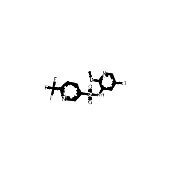 COc1ncc(Cl)cc1NS(=O)(=O)c1ccc(C(F)(F)F)nc1